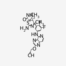 C#CCOc1cnc2c(Nc3cc(F)c(F)c([C@@]4(C)N=C(N)S[C@@]5(C(N)=O)C(C)C54)c3)nccc2n1